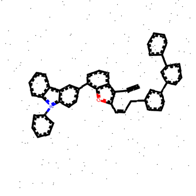 C#Cc1c(/C=C\Cc2cccc(-c3cccc(-c4ccccc4)c3)c2)oc2c(-c3ccc4c(c3)c3ccccc3n4-c3ccccc3)cccc12